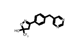 OC1(C(F)(F)F)CC(c2ccc(Cc3cncnc3)cc2)=NO1